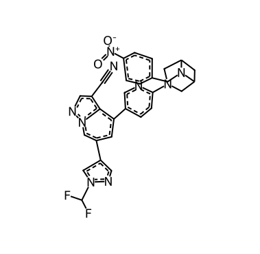 N#Cc1cnn2cc(-c3cnn(C(F)F)c3)cc(-c3ccc(N4CC5CC(C4)N5Cc4ccc([N+](=O)[O-])cc4)nc3)c12